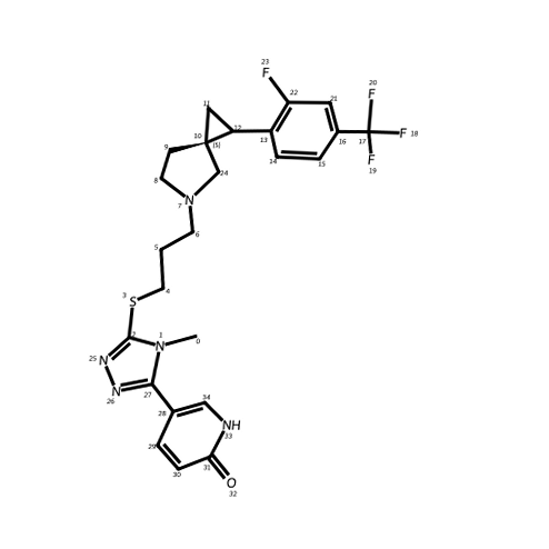 Cn1c(SCCCN2CC[C@]3(CC3c3ccc(C(F)(F)F)cc3F)C2)nnc1-c1ccc(=O)[nH]c1